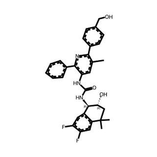 Cc1cc(NC(=O)N[C@@H]2c3cc(F)c(F)cc3C(C)(C)C[C@H]2O)c(-c2ccccc2)nc1-c1ccc(CO)cc1